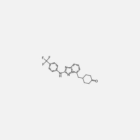 O=C1CCC(Cc2cccc3nc(Nc4ccc(C(F)(F)F)cc4)nn23)CC1